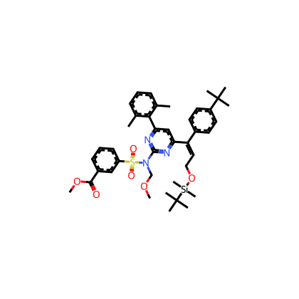 COCN(c1nc(/C(=C\CO[Si](C)(C)C(C)(C)C)c2ccc(C(C)(C)C)cc2)cc(-c2c(C)cccc2C)n1)S(=O)(=O)c1cccc(C(=O)OC)c1